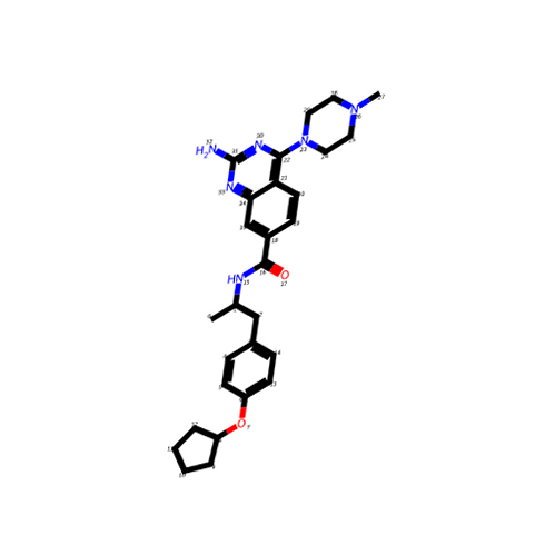 CC(Cc1ccc(OC2CCCC2)cc1)NC(=O)c1ccc2c(N3CCN(C)CC3)nc(N)nc2c1